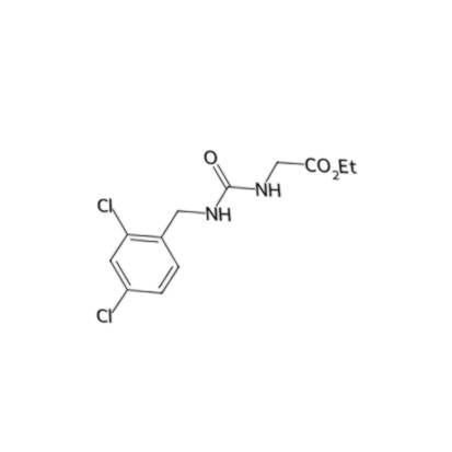 CCOC(=O)CNC(=O)NCc1ccc(Cl)cc1Cl